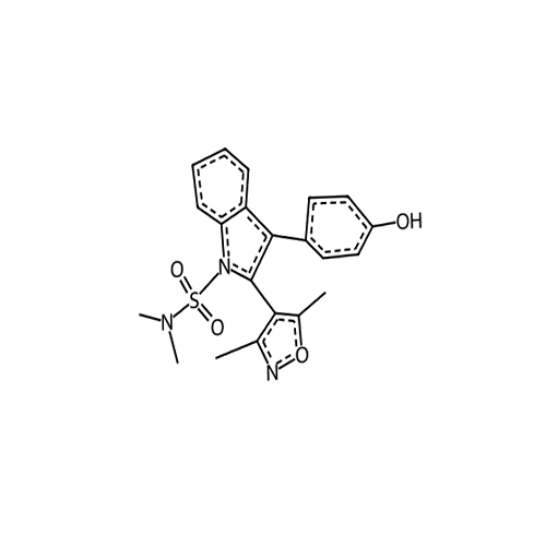 Cc1noc(C)c1-c1c(-c2ccc(O)cc2)c2ccccc2n1S(=O)(=O)N(C)C